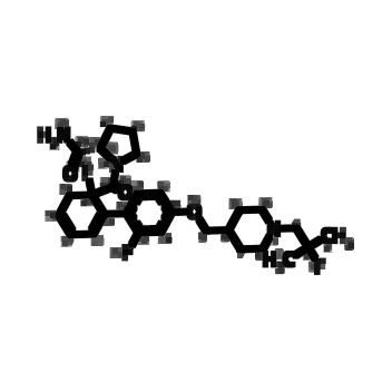 CC(C)(F)CN1CCC(COc2ccc(C3=CC=CCC3(F)C(=O)N3CCC[C@H]3C(N)=O)c(F)c2)CC1